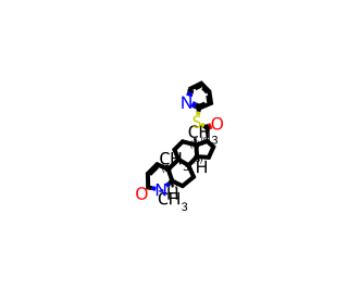 CN1C(=O)C=C[C@]2(C)C3CC[C@]4(C)[C@@H](C(=O)Sc5ccccn5)CC[C@H]4C3CC[C@@H]12